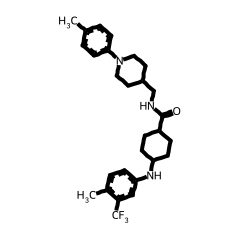 Cc1ccc(N2CCC(CNC(=O)C3CCC(Nc4ccc(C)c(C(F)(F)F)c4)CC3)CC2)cc1